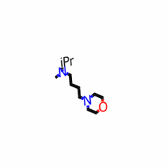 CC(C)N(C)CCCCN1CCOCC1